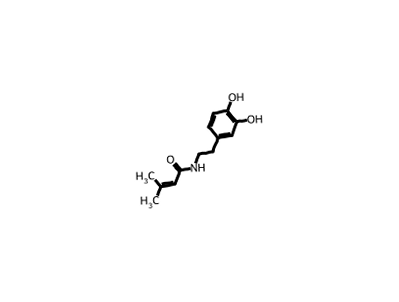 CC(C)=CC(=O)NCCc1ccc(O)c(O)c1